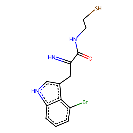 N=C(Cc1c[nH]c2cccc(Br)c12)C(=O)NCCS